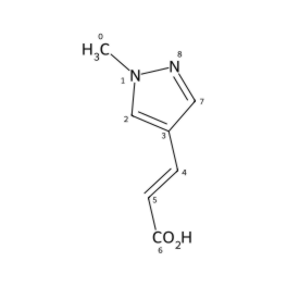 Cn1cc(/C=C/C(=O)O)cn1